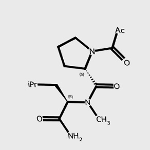 CC(=O)C(=O)N1CCC[C@H]1C(=O)N(C)[C@H](CC(C)C)C(N)=O